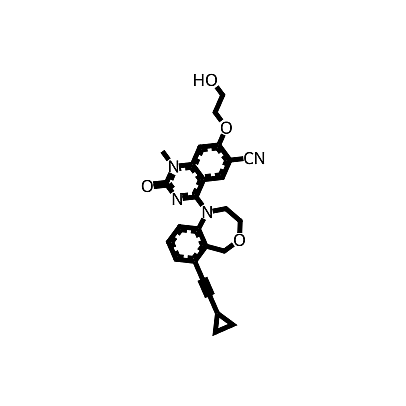 Cn1c(=O)nc(N2CCOCc3c(C#CC4CC4)cccc32)c2cc(C#N)c(OCCO)cc21